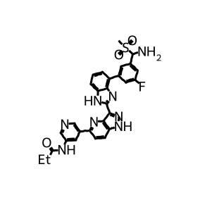 CCC(=O)Nc1cncc(-c2ccc3[nH]nc(-c4nc5c(-c6cc(F)cc(C(N)S(C)(=O)=O)c6)cccc5[nH]4)c3n2)c1